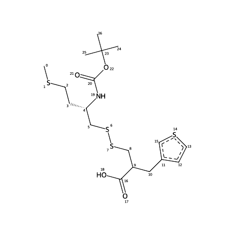 CSCC[C@@H](CSSCC(Cc1ccsc1)C(=O)O)NC(=O)OC(C)(C)C